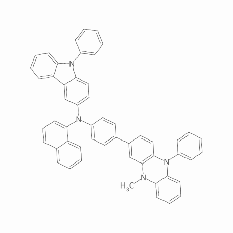 CN1c2ccccc2N(c2ccccc2)c2ccc(-c3ccc(N(c4ccc5c(c4)c4ccccc4n5-c4ccccc4)c4cccc5ccccc45)cc3)cc21